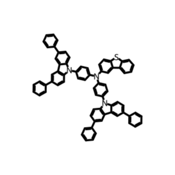 c1ccc(-c2ccc3c(c2)c2cc(-c4ccccc4)ccc2n3-c2ccc(N(c3ccc(-n4c5ccc(-c6ccccc6)cc5c5cc(-c6ccccc6)ccc54)cc3)c3ccc4sc5ccccc5c4c3)cc2)cc1